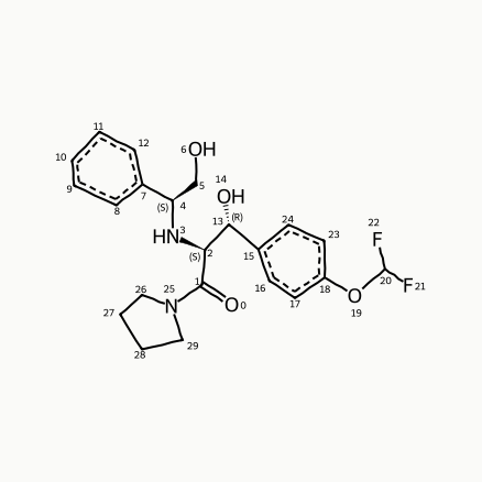 O=C([C@@H](N[C@H](CO)c1ccccc1)[C@H](O)c1ccc(OC(F)F)cc1)N1CCCC1